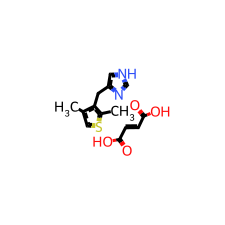 Cc1csc(C)c1Cc1c[nH]cn1.O=C(O)/C=C/C(=O)O